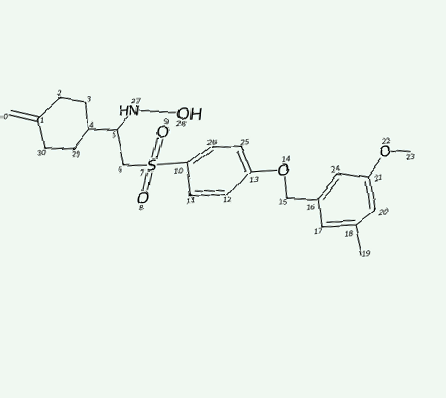 C=C1CCC(C(CS(=O)(=O)c2ccc(OCc3cc(C)cc(OC)c3)cc2)NO)CC1